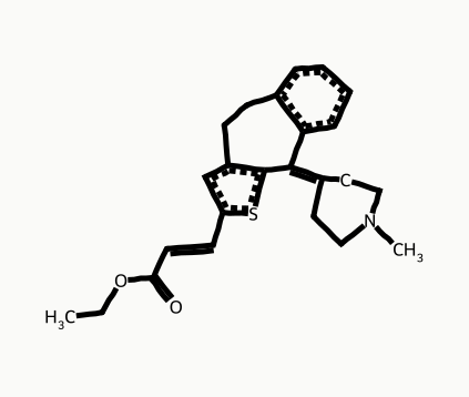 CCOC(=O)/C=C/c1cc2c(s1)C(=C1CCN(C)CC1)c1ccccc1CC2